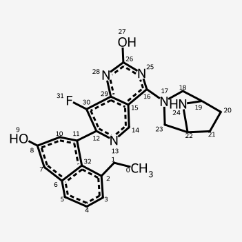 CCc1cccc2cc(O)cc(-c3ncc4c(N5CC6CCC(C5)N6)nc(O)nc4c3F)c12